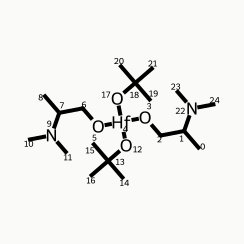 CC(C[O][Hf]([O]CC(C)N(C)C)([O]C(C)(C)C)[O]C(C)(C)C)N(C)C